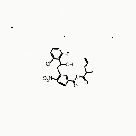 C=CCC(C)C(=O)OC(=O)c1ccc([N+](=O)[O-])c(CC(O)c2c(F)cccc2Cl)c1